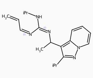 C=C/C=N\C(=N/C(C)c1c(C(C)C)nn2ccccc12)NC(C)C